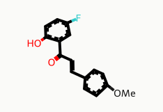 COc1ccc(C=CC(=O)c2cc(F)ccc2O)cc1